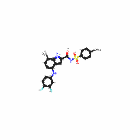 COc1ccc(S(=O)(=O)NC(=O)c2cc3c(Nc4ccc(F)c(F)c4)ccc([N+](=O)[O-])c3[nH]2)cc1